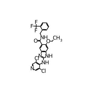 CCOc1cc2[nH]c(Nc3c(Cl)cncc3Cl)nc2cc1C(=O)NCc1ccccc1C(F)(F)F